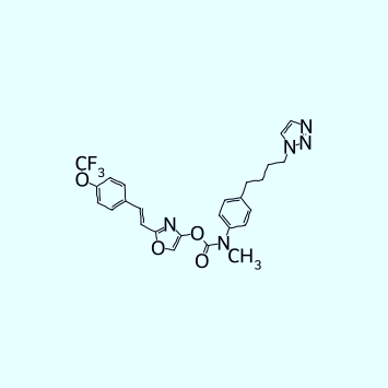 CN(C(=O)Oc1coc(C=Cc2ccc(OC(F)(F)F)cc2)n1)c1ccc(CCCCn2ccnn2)cc1